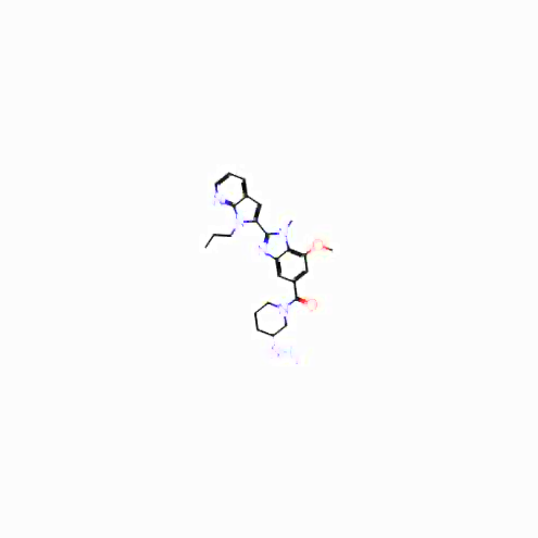 CCCn1c(-c2nc3cc(C(=O)N4CCC[C@@H](N)C4)cc(OC)c3n2C)cc2cccnc21